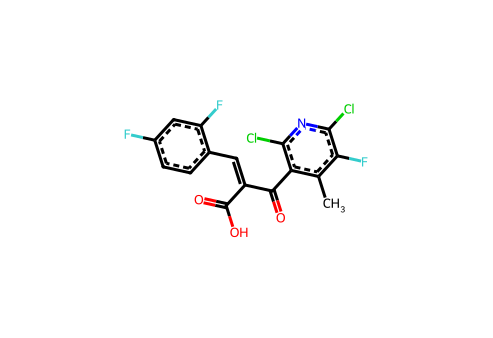 Cc1c(F)c(Cl)nc(Cl)c1C(=O)/C(=C/c1ccc(F)cc1F)C(=O)O